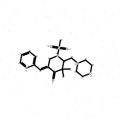 CC1(C)C(=O)C(=Cc2ccccn2)CN(S(C)(=O)=O)C1CN1CCOCC1